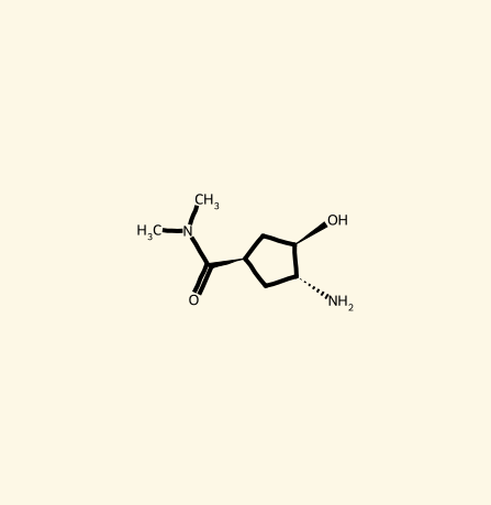 CN(C)C(=O)[C@@H]1C[C@@H](N)[C@H](O)C1